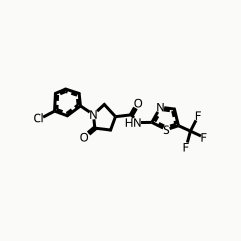 O=C(Nc1ncc(C(F)(F)F)s1)C1CC(=O)N(c2cccc(Cl)c2)C1